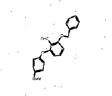 COc1ccc(Oc2cccc(OCc3ccccc3)c2C=O)cc1